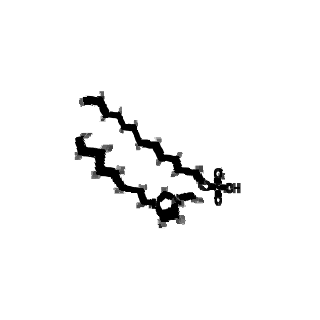 CCCCCCCCCCCCOS(=O)(=O)O.CCCCCCCCN1C=CN(C)C1